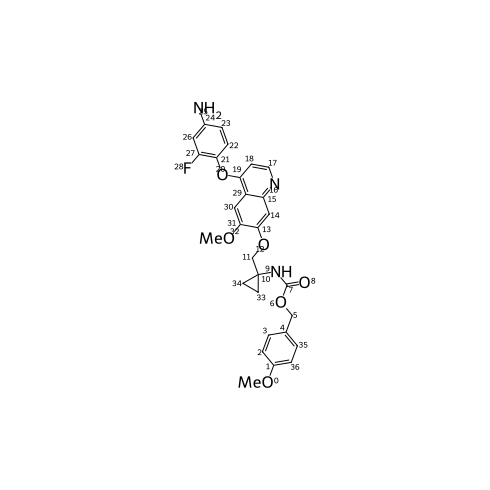 COc1ccc(COC(=O)NC2(COc3cc4nccc(Oc5ccc(N)cc5F)c4cc3OC)CC2)cc1